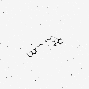 O=C(O)C(CCOCCCCc1ccc2c(n1)NCCC2)NC(=O)C1(c2c(Cl)cncc2Cl)CC1